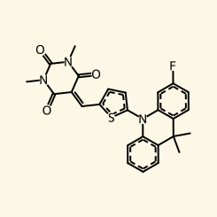 CN1C(=O)C(=Cc2ccc(N3c4ccccc4C(C)(C)c4ccc(F)cc43)s2)C(=O)N(C)C1=O